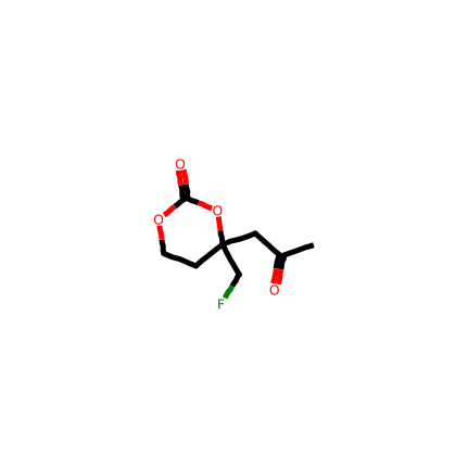 CC(=O)CC1(CF)CCOC(=O)O1